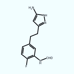 Nc1cc(CCc2ccc(F)c(NC=O)c2)n[nH]1